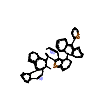 C=C/C=C\c1c(C)c(C(=C)c2sc3cccc(-c4c5ccccc5c(-c5cccs5)c5ccccc45)c3c2/C=C\C)c2ccccc2c1-c1ccccc1